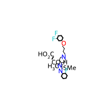 CSC(=Nc1ccccc1F)N(C)C1CCN(CCCCOc2ccc(F)c(F)c2)CC1.O=C(O)C=CC(=O)O